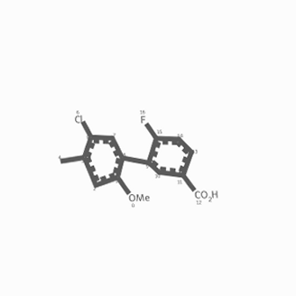 COc1cc(C)c(Cl)cc1-c1cc(C(=O)O)ccc1F